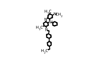 C=Cc1ccc(-c2ccc(C=Nc3cc4c(cc3C)nc3cc(C)c(N=C)cc3[n+]4-c3ccccc3)cc2)cc1